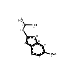 COc1ccc2cc(OB(O)O)sc2c1